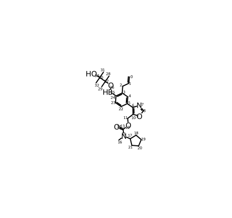 C=CCc1cc(-c2ncoc2COC(=O)N(C)C2CCCC2)ccc1BOC(C)(C)C(C)(C)O